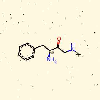 [2H]NCC(=O)[C@@H](N)Cc1ccccc1